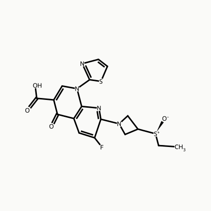 CC[S@+]([O-])C1CN(c2nc3c(cc2F)c(=O)c(C(=O)O)cn3-c2nccs2)C1